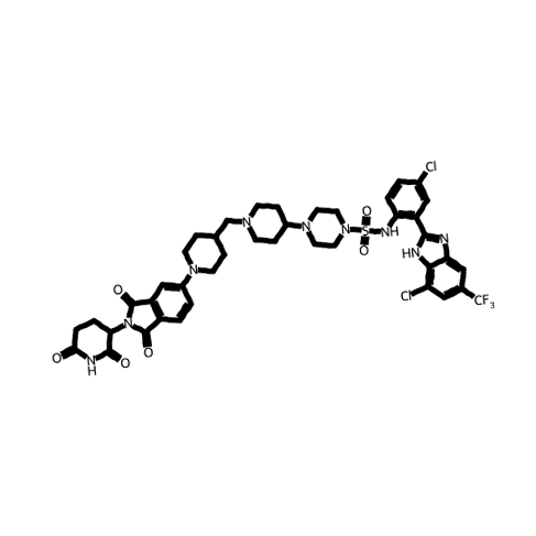 O=C1CCC(N2C(=O)c3ccc(N4CCC(CN5CCC(N6CCN(S(=O)(=O)Nc7ccc(Cl)cc7-c7nc8cc(C(F)(F)F)cc(Cl)c8[nH]7)CC6)CC5)CC4)cc3C2=O)C(=O)N1